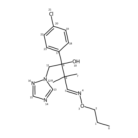 CCCO/N=C/C(C)(C)C(O)(Cn1cncn1)c1ccc(Cl)cc1